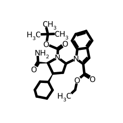 CCOC(=O)c1cc2ccccc2n1C1C[C@@H](C2CCCCC2)[C@@H](C(N)=O)N1C(=O)OC(C)(C)C